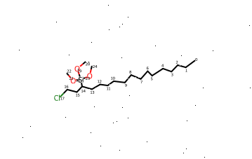 CCCCCCCCCCCCCCC(CCCl)[Si](OC)(OC)OC